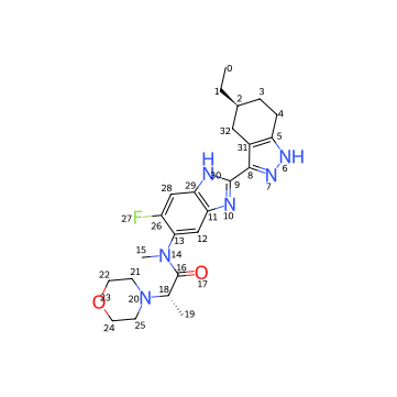 CC[C@H]1CCc2[nH]nc(-c3nc4cc(N(C)C(=O)[C@H](C)N5CCOCC5)c(F)cc4[nH]3)c2C1